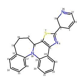 C1=CC(c2nc3c(s2)C2CCCc4ccccc4N2c2ccccc2-3)CN=C1